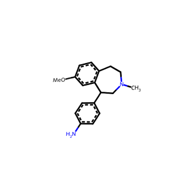 COc1ccc2c(c1)C(c1ccc(N)cc1)CN(C)CC2